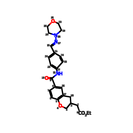 CCOC(=O)CC1COc2ccc(C(=O)Nc3ccc(/C=N/N4CCOCC4)cc3)cc2C1